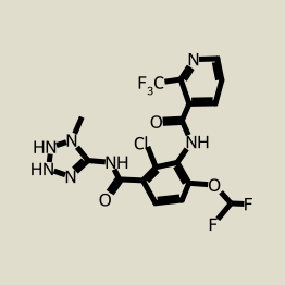 CN1NNN=C1NC(=O)c1ccc(OC(F)F)c(NC(=O)c2cccnc2C(F)(F)F)c1Cl